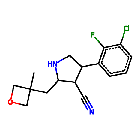 CC1(CC2NCC(c3cccc(Cl)c3F)C2C#N)COC1